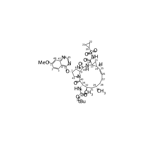 COc1ccc2c(O[C@@H]3C[C@H]4C(=O)N[C@]5(C(=O)NS(=O)(=O)C6CC6)C[C@H]5/C=C\CC[C@H](C)C[C@@H](C)[C@H](NC(=O)OC(C)(C)C)C(=O)N4C3)ncnc2c1